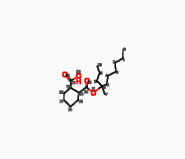 CCCCCCC(C)(CCC)OC(=O)C1CCCCC1C(=O)O